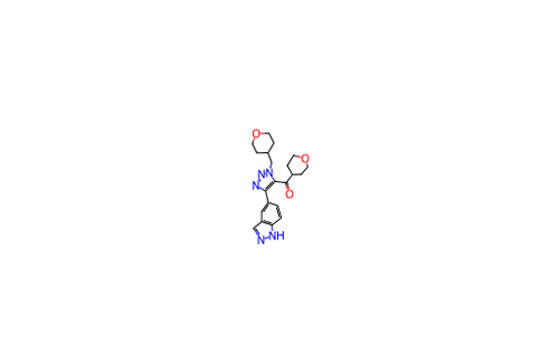 O=C(c1c(-c2ccc3[nH]ncc3c2)nnn1CC1CCOCC1)C1CCOCC1